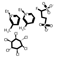 CC[n+]1cccc(C)c1.CC[n+]1cccc(C)c1.Cl[C@H]1[C@H](Cl)[C@@H](Cl)[C@@H](Cl)[C@H](Cl)[C@H]1Cl.O=S(=O)([O-])CCC(F)S(=O)(=O)[O-]